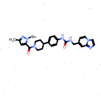 Cc1cc(C(=O)N2CCC(c3ccc(NC(=O)NCc4ccn5ccnc5c4)cc3)CC2)n(C(C)(C)C)n1